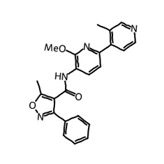 COc1nc(-c2ccncc2C)ccc1NC(=O)c1c(-c2ccccc2)noc1C